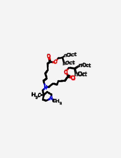 CCCCCCCCC(CCCCCCCC)COC(=O)CCCCCN(CCCCCC(=O)OCC(CCCCCCCC)CCCCCCCC)CC1(C)CCN(C)CC1